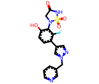 O=C1CN(c2c(O)ccc(-c3cnn(Cc4cccnc4)c3)c2F)S(=O)(=O)N1